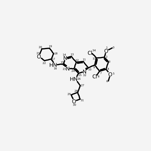 COc1cc(OC)c(Cl)c(-c2cc3cnc(NC4CCCOC4)nc3c(NCC3COC3)n2)c1Cl